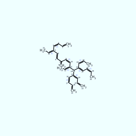 C=C/C=C\C(C=CC(=C)/C=C\C(=C/C)N(C(/C=C\C=C)=C/C=C)C(/C=C\C)=C/C=C\C)=C/C